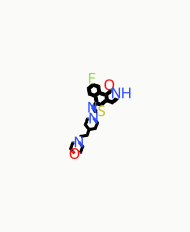 O=c1[nH]ccc2c3sc(N4CCC(CCN5CCOCC5)CC4)nc3c3ccc(F)cc3c12